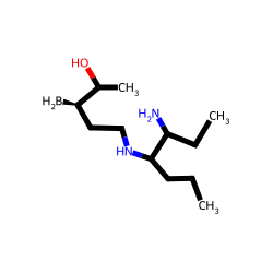 B[C@H](CCNC(CCC)C(N)CC)C(C)O